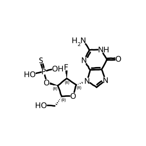 Nc1nc2c(ncn2[C@@H]2O[C@H](CO)[C@@H](OP(O)(O)=S)[C@H]2F)c(=O)[nH]1